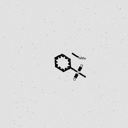 CNC.CS(=O)(=O)c1ccccc1